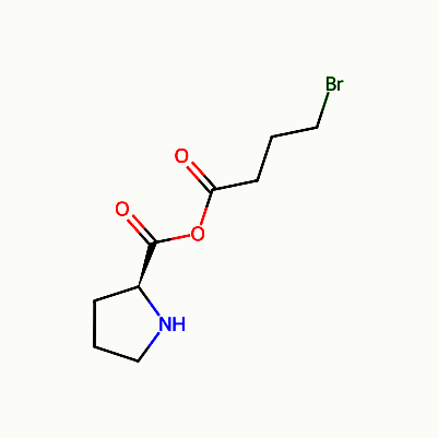 O=C(CCCBr)OC(=O)[C@@H]1CCCN1